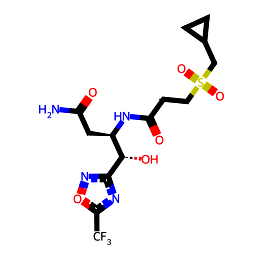 NC(=O)C[C@@H](NC(=O)[CH]CS(=O)(=O)CC1CC1)[C@H](O)c1noc(C(F)(F)F)n1